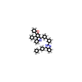 c1ccc(-c2ccc(-c3nc(-c4cccc(-c5cccc(-c6nc7ccccc7c7c(-c8ccccc8)c8c(cc67)oc6ccccc68)c5)c4)nc4ccccc34)cc2)cc1